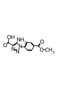 COC(=O)c1ccc(-n2nnc(C(=O)O)c2N)cc1